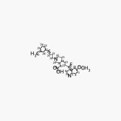 COc1ccc2nccc(C(F)CC[C@@H]3CCN(CCCSc4cccc(C)c4)C[C@@H]3CC(=O)O)c2c1